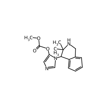 COC(=O)Oc1cncn1C1c2ccccc2CNC1(C)C